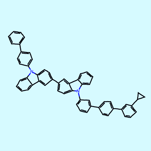 c1ccc(-c2ccc(-n3c4ccccc4c4cc(-c5ccc6c(c5)c5ccccc5n6-c5cccc(-c6ccc(-c7cccc(C8CC8)c7)cc6)c5)ccc43)cc2)cc1